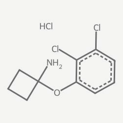 Cl.NC1(Oc2cccc(Cl)c2Cl)CCC1